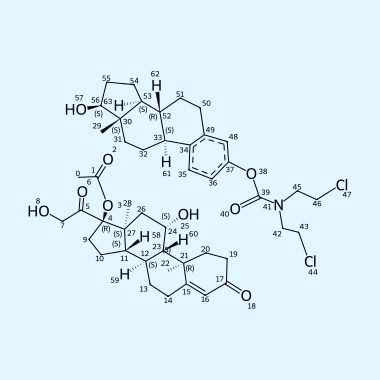 CC(=O)O[C@]1(C(=O)CO)CC[C@H]2[C@@H]3CCC4=CC(=O)CC[C@]4(C)[C@H]3[C@@H](O)C[C@@]21C.C[C@]12CC[C@@H]3c4ccc(OC(=O)N(CCCl)CCCl)cc4CC[C@H]3[C@@H]1CC[C@@H]2O